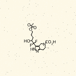 C[C@@H]1Cc2n[nH]c(C(F)(F)C(O)CCCOS(C)(=O)=O)c2CN1C(=O)O